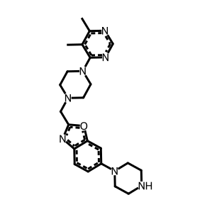 Cc1ncnc(N2CCN(Cc3nc4ccc(N5CCNCC5)cc4o3)CC2)c1C